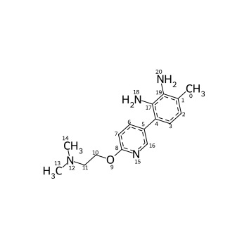 Cc1ccc(-c2ccc(OCCN(C)C)nc2)c(N)c1N